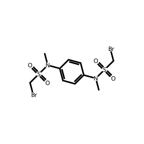 CN(c1ccc(N(C)S(=O)(=O)CBr)cc1)S(=O)(=O)CBr